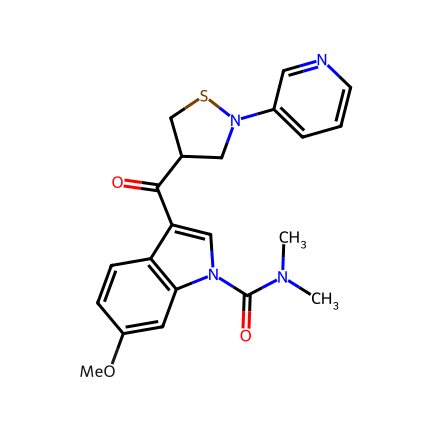 COc1ccc2c(C(=O)C3CSN(c4cccnc4)C3)cn(C(=O)N(C)C)c2c1